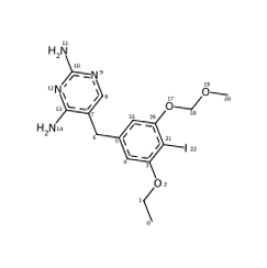 CCOc1cc(Cc2cnc(N)nc2N)cc(OCOC)c1I